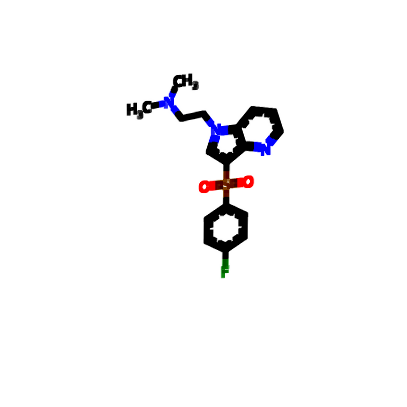 CN(C)CCn1cc(S(=O)(=O)c2ccc(F)cc2)c2ncccc21